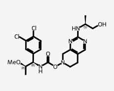 CO[C@H](C)[C@H](NC(=O)ON1CCc2cnc(N[C@@H](C)CO)nc2C1)c1ccc(Cl)c(Cl)c1